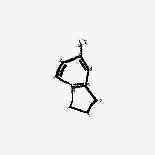 [CH2]Cc1ccc2c(c1)CCC2